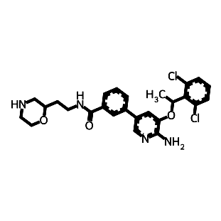 CC(Oc1cc(-c2cccc(C(=O)NCCC3CNCCO3)c2)cnc1N)c1c(Cl)cccc1Cl